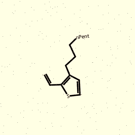 [CH]=Cc1s[c]cc1CCCCCCCC